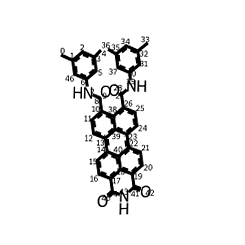 Cc1cc(C)cc(NC(=O)c2ccc3c4ccc5c6c(ccc(c7ccc(C(=O)Nc8cc(C)cc(C)c8)c2c37)c64)C(=O)NC5=O)c1